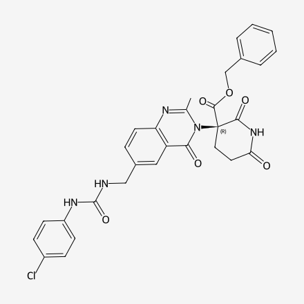 Cc1nc2ccc(CNC(=O)Nc3ccc(Cl)cc3)cc2c(=O)n1[C@]1(C(=O)OCc2ccccc2)CCC(=O)NC1=O